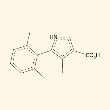 Cc1cccc(C)c1-c1[nH]cc(C(=O)O)c1C